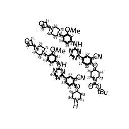 COc1cc(Nc2ncnc(-c3ccc(OC4CCN(C(=O)OC(C)(C)C)CC4)c(C#N)c3)n2)ccc1N1CCN(C2COC2)CC1.COc1cc(Nc2ncnc(-c3ccc(OC4CCNCC4)c(C#N)c3)n2)ccc1N1CCN(C2COC2)CC1